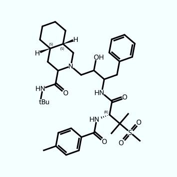 Cc1ccc(C(=O)N[C@H](C(=O)NC(Cc2ccccc2)C(O)CN2C[C@H]3CCCC[C@H]3CC2C(=O)NC(C)(C)C)C(C)(C)S(C)(=O)=O)cc1